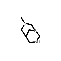 CN1CC2CNCP(C2)C1